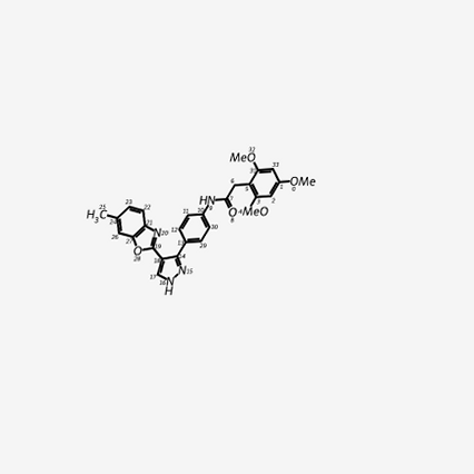 COc1cc(OC)c(CC(=O)Nc2ccc(-c3n[nH]cc3-c3nc4ccc(C)cc4o3)cc2)c(OC)c1